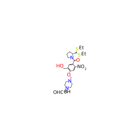 CCSC(SCC)[C@@H]1CCCN1C(=O)c1cc(CO)c(OCN2CCN(BC=O)CC2)cc1[N+](=O)[O-]